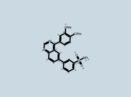 COc1ccc(-c2ncnc3ccc(-c4cccc(S(N)(=O)=O)c4)cc23)cc1OC